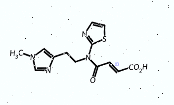 Cn1cnc(CCN(C(=O)/C=C/C(=O)O)c2nccs2)c1